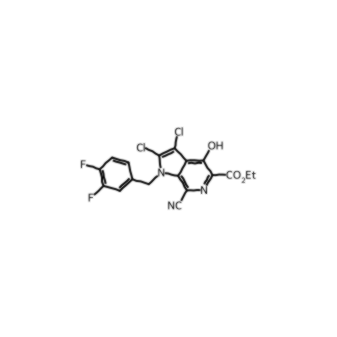 CCOC(=O)c1nc(C#N)c2c(c1O)c(Cl)c(Cl)n2Cc1ccc(F)c(F)c1